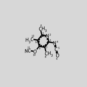 Cc1nc(N=C=O)c(C)c(OC#N)c1C